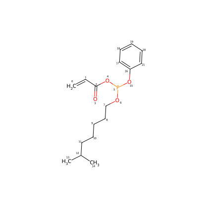 C=CC(=O)OP(OCCCCCC(C)C)Oc1ccccc1